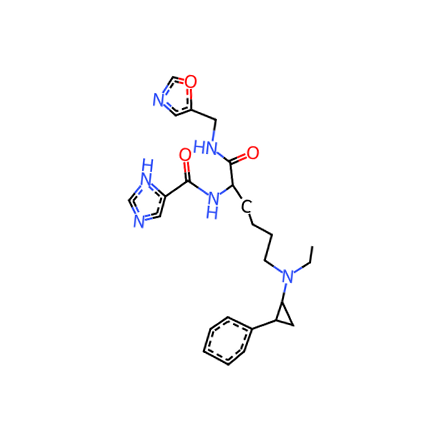 CCN(CCCCC(NC(=O)c1cnc[nH]1)C(=O)NCc1cnco1)C1CC1c1ccccc1